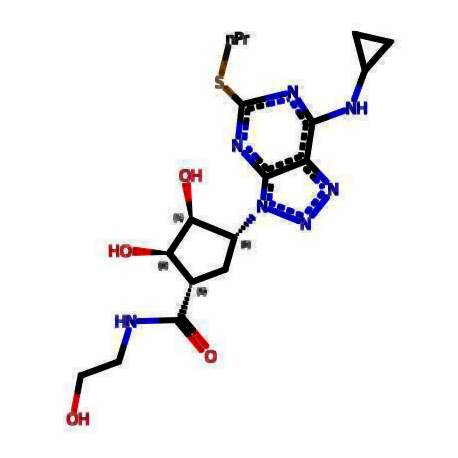 CCCSc1nc(NC2CC2)c2nnn([C@@H]3C[C@H](C(=O)NCCO)[C@@H](O)[C@H]3O)c2n1